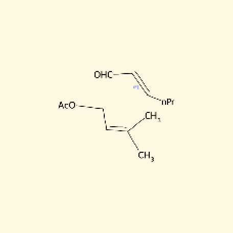 CC(=O)OCC=C(C)C.CCC/C=C/C=O